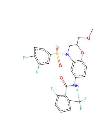 COCC1CN(S(=O)(=O)c2ccc(F)c(F)c2)c2cc(NC(=O)c3c(F)cccc3C(F)(F)F)ccc2O1